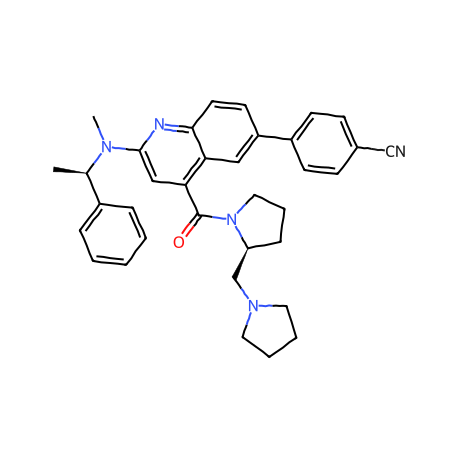 C[C@H](c1ccccc1)N(C)c1cc(C(=O)N2CCC[C@H]2CN2CCCC2)c2cc(-c3ccc(C#N)cc3)ccc2n1